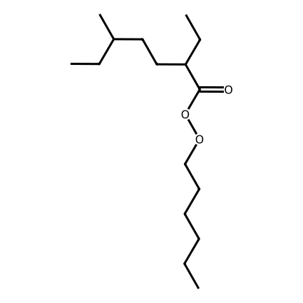 CCCCCCOOC(=O)C(CC)CCC(C)CC